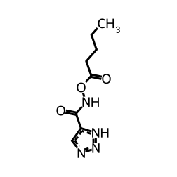 CCCCC(=O)ONC(=O)c1cnn[nH]1